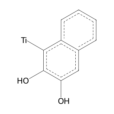 Oc1cc2ccccc2[c]([Ti])c1O